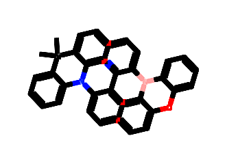 C[Si]1(C)c2ccccc2N(c2ccccc2-c2ncccc2B2c3ccccc3Oc3ccccc32)c2ccccc21